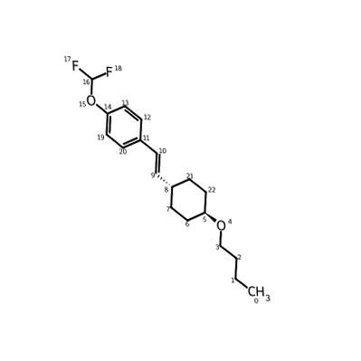 CCCCO[C@H]1CC[C@H](C=Cc2ccc(OC(F)F)cc2)CC1